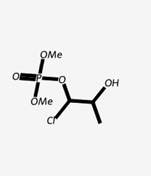 COP(=O)(OC)OC(Cl)C(C)O